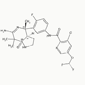 CC1(C)C(N)=N[C@](C)(c2cc(NC(=O)c3ncc(OC(F)F)cc3Cl)ccc2F)[C@H]2CCN[SH]21=O